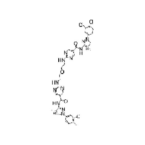 Cc1ccc(N2C[C@H](C)C(NC(=O)c3cnc(NCCOCCNc4ncc(C(=O)NC5=NN(c6ccc(Cl)c(Cl)c6)C[C@@H]5C)cn4)nc3)=N2)cc1Cl